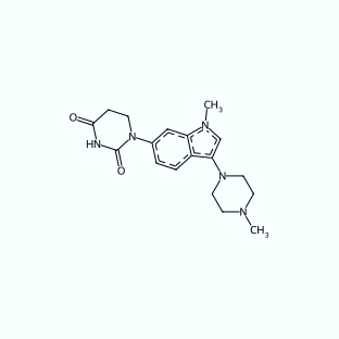 CN1CCN(c2cn(C)c3cc(N4CCC(=O)NC4=O)ccc23)CC1